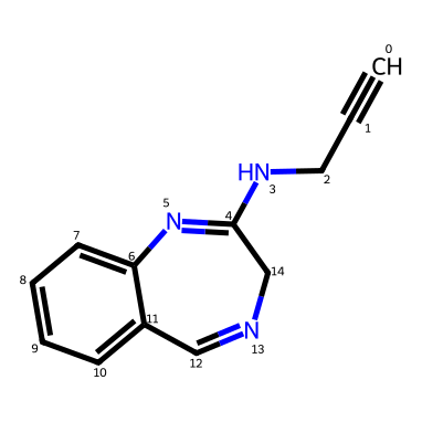 C#CCNC1=Nc2ccccc2C=NC1